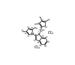 CC1=C(C)C(C)=[C]([Ti+2][CH]2C(n3cc(C)cc3C)=Cc3ccccc32)C1.[Cl-].[Cl-]